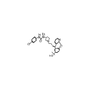 CCN(C(=O)Nc1ccc(Cl)cc1)C1CCN(CCC=C2c3cc(C(C)(C)O)ccc3OCc3ncccc32)C1